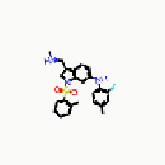 CNCc1cn(S(=O)(=O)c2ccccc2C)c2cc(Nc3ccc(C)cc3F)ccc12